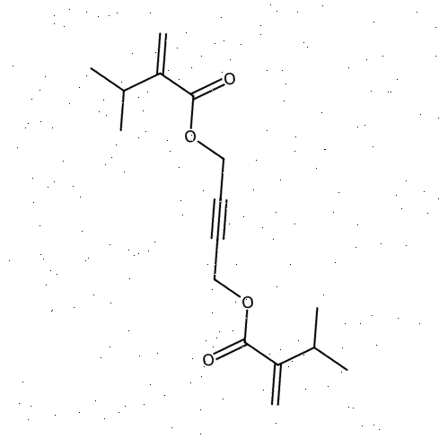 C=C(C(=O)OCC#CCOC(=O)C(=C)C(C)C)C(C)C